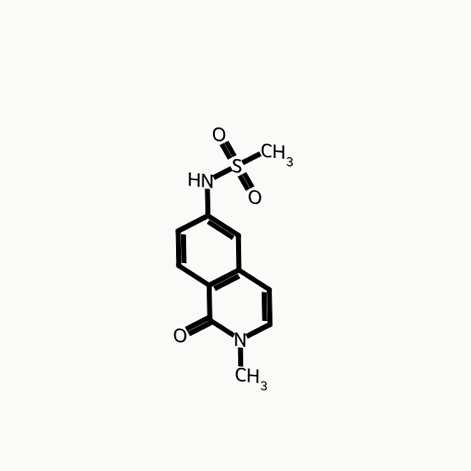 Cn1ccc2cc(NS(C)(=O)=O)ccc2c1=O